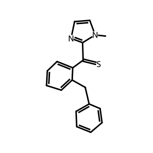 Cn1ccnc1C(=S)c1ccccc1Cc1ccccc1